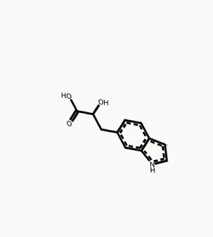 O=C(O)C(O)Cc1ccc2[c]c[nH]c2c1